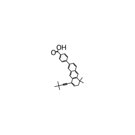 CC(C)(C)C#CC1=CCC(C)(C)c2cc3ccc(-c4ccc(C(=O)O)cc4)cc3cc21